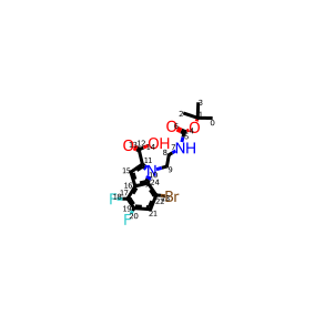 CC(C)(C)OC(=O)NCCn1c(C(=O)O)cc2c(F)c(F)cc(Br)c21